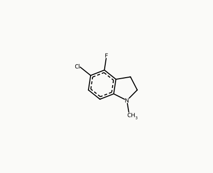 CN1CCc2c1ccc(Cl)c2F